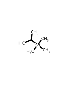 C[CH](C)[Sn]([CH3])([CH3])[CH3]